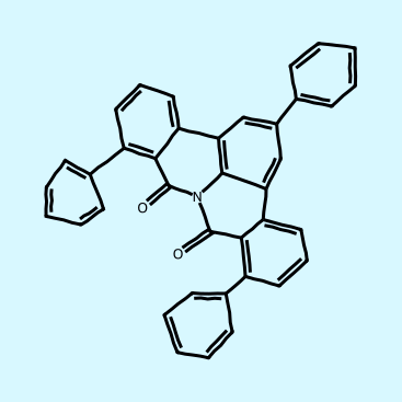 O=c1c2c(-c3ccccc3)cccc2c2cc(-c3ccccc3)cc3c4cccc(-c5ccccc5)c4c(=O)n1c23